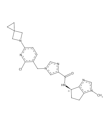 Cn1cnc2c1CC[C@H]2NC(=O)c1cn(Cc2ccc(N3CC4(CC4)C3)nc2Cl)cn1